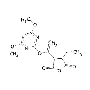 C=C(Oc1nc(OC)cc(OC)n1)C1C(=O)OC(=O)C1CC